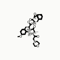 COc1ccc(C[C@H](NC(=O)[C@H](C)NC(=O)CN2CCOCC2)C(=O)N[C@@H](Cc2ccccc2)C(=O)[C@H]2CO2)c(O)c1